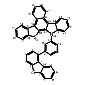 c1cc(-c2cccc3sc4ccccc4c23)cc(-n2c3ccccc3c3c4ccccc4c4c5ccccc5sc4c32)c1